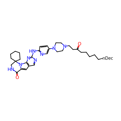 CCCCCCCCCCCCCCCC(=O)CCN1CCN(c2ccc(Nc3ncc4cc5n(c4n3)C3(CCCCC3)CNC5=O)nc2)CC1